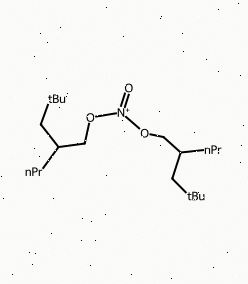 CCCC(CO[N+](=O)OCC(CCC)CC(C)(C)C)CC(C)(C)C